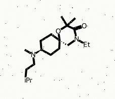 CCN1C[C@]2(CC[C@H](N(C)CCC(C)C)CC2)OC(C)(C)C1=O